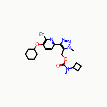 CCc1nc(-c2nnn(C)c2COC(=O)N(C)C2CCC2)ccc1OC1CCCCC1